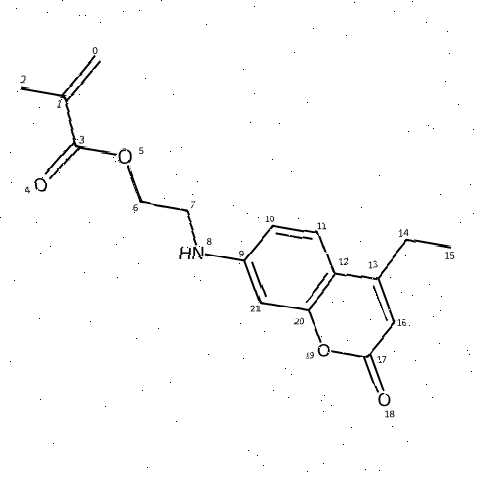 C=C(C)C(=O)OCCNc1ccc2c(CC)cc(=O)oc2c1